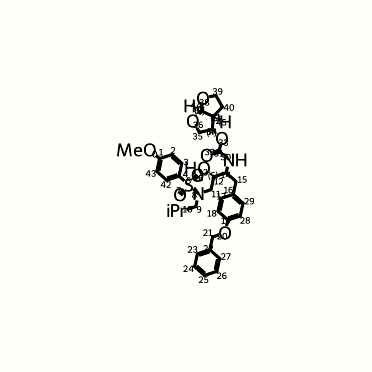 COc1ccc(S(=O)(=O)N(CC(C)C)C[C@H](O)C(Cc2ccc(OCc3ccccc3)cc2)NC(=O)O[C@H]2CO[C@H]3OCC[C@H]32)cc1